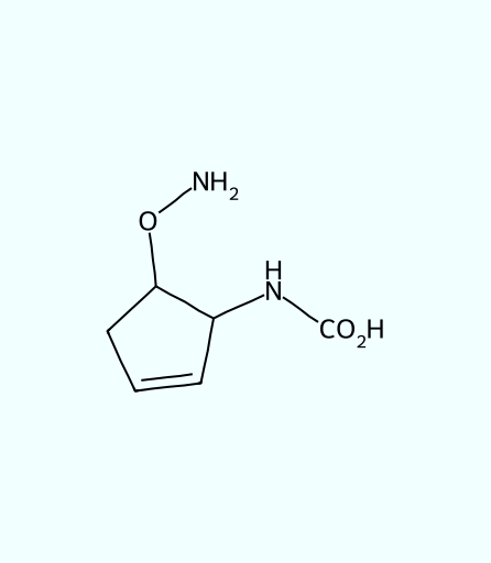 NOC1CC=CC1NC(=O)O